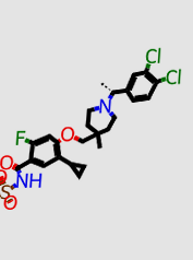 C[C@H](c1ccc(Cl)c(Cl)c1)N1CCC(C)(COc2cc(F)c(C(=O)NS(C)(=O)=O)cc2C2CC2)CC1